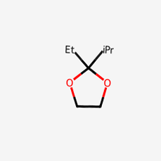 CCC1(C(C)C)OCCO1